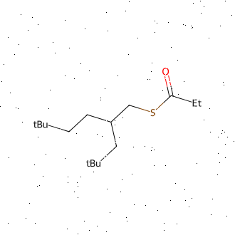 CCC(=O)SCC(CCC(C)(C)C)CC(C)(C)C